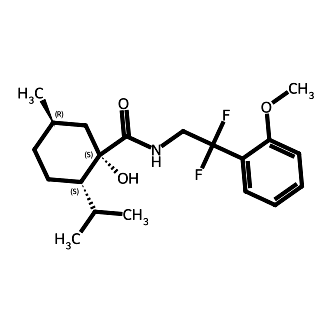 COc1ccccc1C(F)(F)CNC(=O)[C@]1(O)C[C@H](C)CC[C@H]1C(C)C